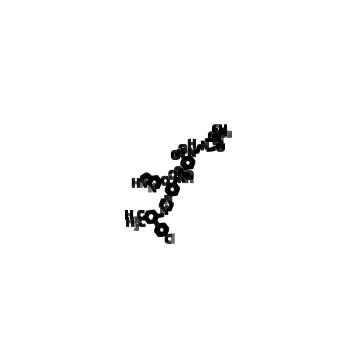 CC1(C)CCC(CN2CCN(c3ccc(C(=O)NS(=O)(=O)c4ccc(NCCN5CCS(=O)(=NS(C)(=O)=O)CC5)c([N+](=O)[O-])c4)c(Oc4cnc5[nH]ccc5c4)c3)CC2)=C(c2ccc(Cl)cc2)C1